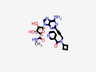 CNC(=O)[C@H]1O[C@@H](n2cnc3c(N)nc(C#CCN(C(=O)c4cccnc4)C4CCC4)nc32)[C@H](O)[C@@H]1O